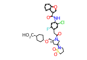 O=C(Nc1cc(F)c(CC(=O)N2C[C@@H](N3CCCS3(=O)=O)C[C@H]2CO[C@H]2CC[C@H](C(=O)O)CC2)cc1Cl)c1coc2ccccc12